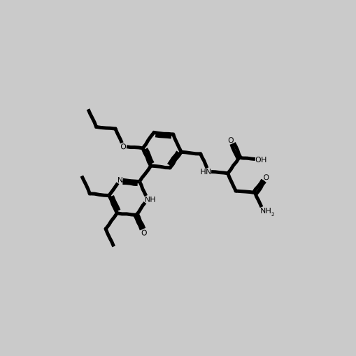 CCCOc1ccc(CNC(CC(N)=O)C(=O)O)cc1-c1nc(CC)c(CC)c(=O)[nH]1